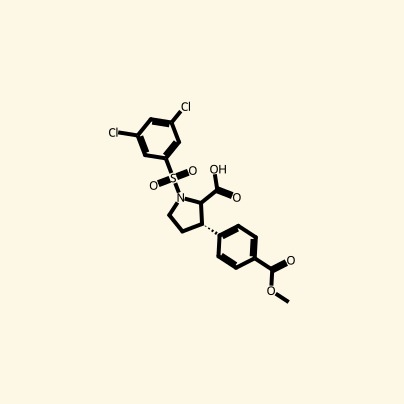 COC(=O)c1ccc([C@@H]2CCN(S(=O)(=O)c3cc(Cl)cc(Cl)c3)C2C(=O)O)cc1